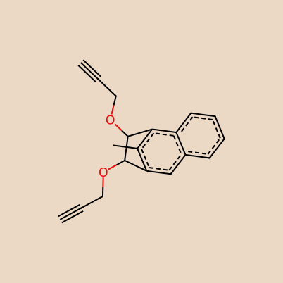 C#CCOC1c2cc3ccccc3c(c2C)C1OCC#C